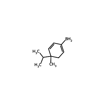 BC1=CCC(C)(C(C)C)C=C1